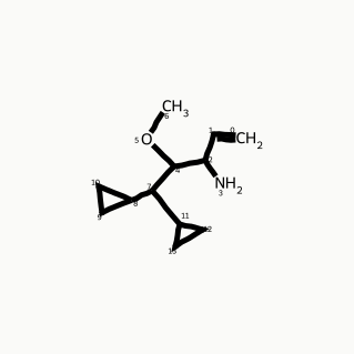 C=CC(N)C(OC)C(C1CC1)C1CC1